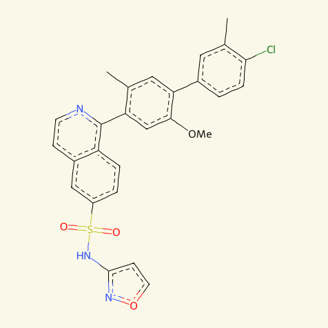 COc1cc(-c2nccc3cc(S(=O)(=O)Nc4ccon4)ccc23)c(C)cc1-c1ccc(Cl)c(C)c1